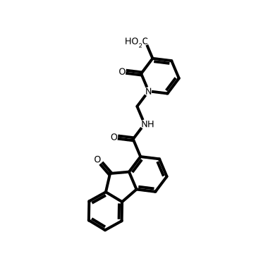 O=C(NCn1cccc(C(=O)O)c1=O)c1cccc2c1C(=O)c1ccccc1-2